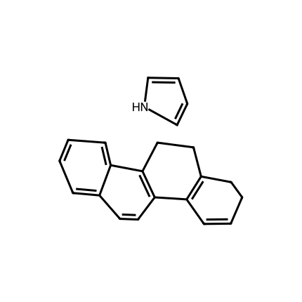 C1=CC2=C(CC1)CCc1c2ccc2ccccc12.c1cc[nH]c1